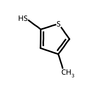 Cc1csc(S)c1